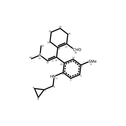 CSc1ccc(NCC2CC2)c(/C(=C/N(C)C)C2=C(C=O)CCCC2)c1